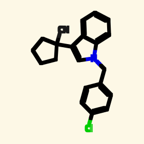 N#CC1(c2cn(Cc3ccc(Cl)cc3)c3ccccc23)CCCC1